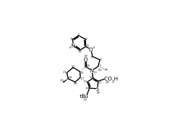 C[C@@H](CCOc1cccnc1)N(c1cc(C(C)(C)C)sc1C(=O)O)C(=O)[C@H]1CC[C@H](C)CC1